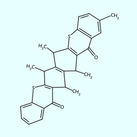 Cc1ccc2sc3c(c(=O)c2c1)C(C)C1=C(C(C)c2sc4ccccc4c(=O)c2C1C)C3C